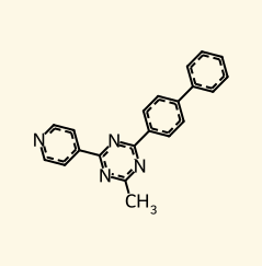 Cc1nc(-c2ccncc2)nc(-c2ccc(-c3ccccc3)cc2)n1